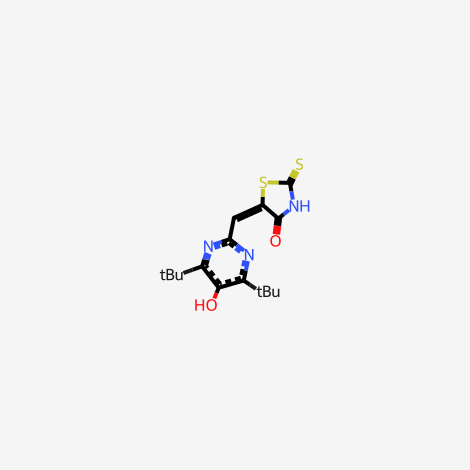 CC(C)(C)c1nc(C=C2SC(=S)NC2=O)nc(C(C)(C)C)c1O